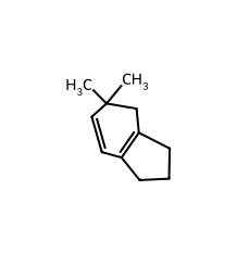 CC1(C)C=CC2=C(CCC2)C1